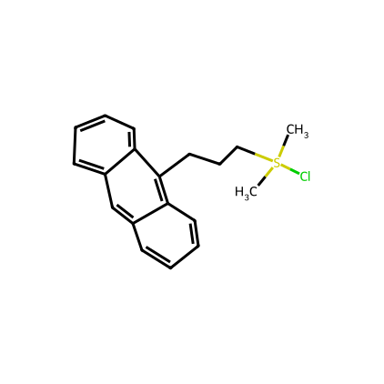 CS(C)(Cl)CCCc1c2ccccc2cc2ccccc12